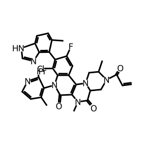 C=CC(=O)N1CC2C(=O)N(C)c3c(c4cc(F)c(-c5c(C)ccc6[nH]cnc56)c(Cl)c4n(-c4c(C)ccnc4C(C)C)c3=O)N2CC1C